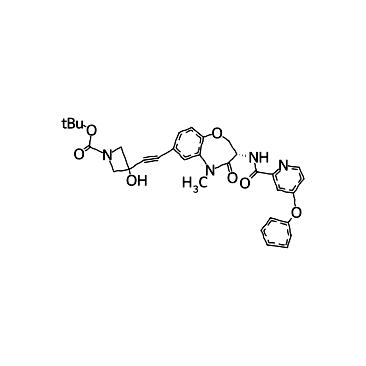 CN1C(=O)[C@@H](NC(=O)c2cc(Oc3ccccc3)ccn2)COc2ccc(C#CC3(O)CN(C(=O)OC(C)(C)C)C3)cc21